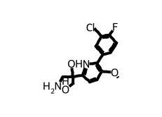 COc1ccc(C(O)(CN)CO)nc1-c1ccc(F)c(Cl)c1